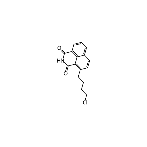 O=C1NC(=O)c2c(CCCCCl)ccc3cccc1c23